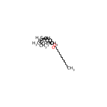 CCCCCC=CCC=CCCCCCCCC(=O)OC1CC[C@@]2(C)C(=CC[C@H]3[C@@H]4CC[C@H]([C@H](C)C=C[C@H](C)C(C)C)[C@@]4(C)CC[C@@H]32)C1